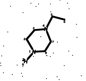 [2H]N1CCN(CC)CC1